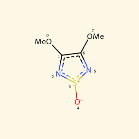 COc1n[s+]([O-])nc1OC